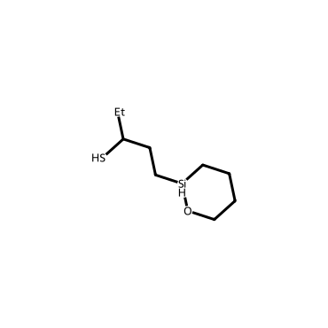 CCC(S)CC[SiH]1CCCCO1